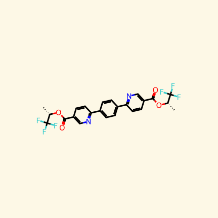 C[C@H](OC(=O)c1ccc(-c2ccc(-c3ccc(C(=O)O[C@@H](C)C(F)(F)F)cn3)cc2)nc1)C(F)(F)F